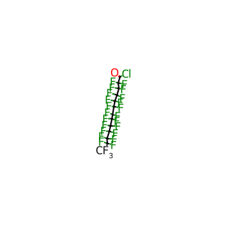 O=C(Cl)C(F)(F)C(F)(F)C(F)(F)C(F)(F)C(F)(F)C(F)(F)C(F)(F)C(F)(F)C(F)(F)C(F)(F)C(F)(F)C(F)(F)F